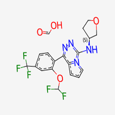 FC(F)Oc1cc(C(F)(F)F)ccc1-c1nnc(N[C@H]2CCOC2)n2cccc12.O=CO